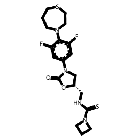 O=C1O[C@@H](CNC(=S)N2CCC2)CN1c1cc(F)c(N2CCCSCC2)c(F)c1